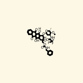 CO[C@@H]1[C@@H](NC(=O)C(F)(F)F)C[C@H](O[C@H]2CC(O)(COC(=O)NCc3ccccc3)Cc3c(O)c4c(c(O)c32)C(=O)c2ccccc2C4=O)O[C@@H]1C